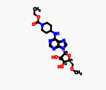 CCOC(=O)N1CCC(Nc2ncnc3c2ncn3[C@@H]2O[C@H](COC)[C@@H](O)[C@H]2O)CC1